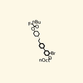 CCCCCCCCOc1ccc(-c2ccc(CC[C@H]3CC[C@H](OC(=O)[C@@H](F)CCCC)CC3)cc2)cc1Br